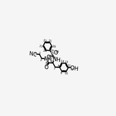 N#CCCNC(=O)C(Cc1ccc(O)cc1)NS(=O)(=O)c1ccccc1